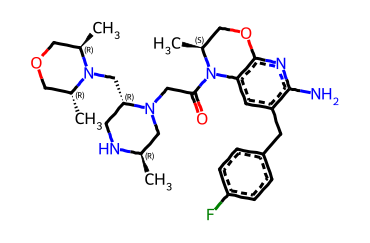 C[C@@H]1CN(CC(=O)N2c3cc(Cc4ccc(F)cc4)c(N)nc3OC[C@@H]2C)[C@@H](CN2[C@H](C)COC[C@H]2C)CN1